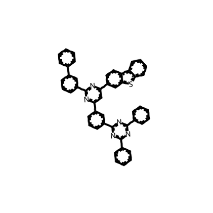 c1ccc(-c2cccc(-c3nc(-c4cccc(-c5nc(-c6ccccc6)nc(-c6ccccc6)n5)c4)cc(-c4ccc5c(c4)sc4ccccc45)n3)c2)cc1